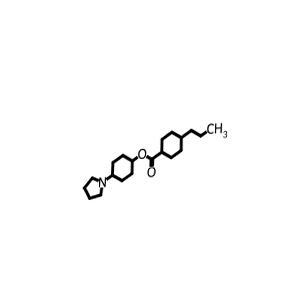 CCCC1CCC(C(=O)OC2CCC(N3CCCC3)CC2)CC1